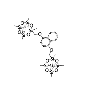 C[SiH]1O[SiH](C)O[Si](C)(COc2ccc(OC[Si]3(C)O[SiH](C)O[SiH](C)O[SiH](C)O3)c3ccccc23)O[SiH](C)O1